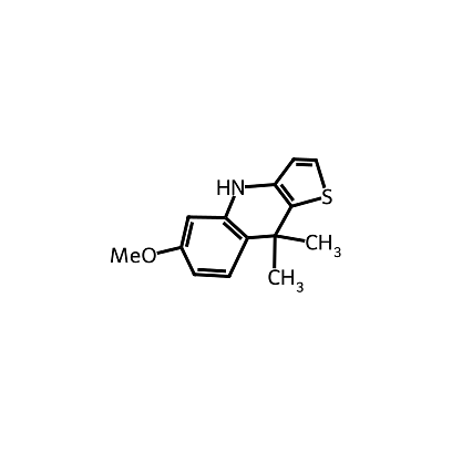 COc1ccc2c(c1)Nc1ccsc1C2(C)C